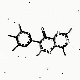 Cc1nc(C)c2oc(C)c(-c3cc(C)c(C)c(C)c3)c(=O)c2n1